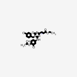 CCOC(=O)/C=C/c1nc(Nc2ccc(OC(C)C)c(Cl)c2)n(Cc2ccc(Cl)cc2)c(=O)n1